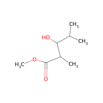 COC(=O)C(C)C(O)C(C)C